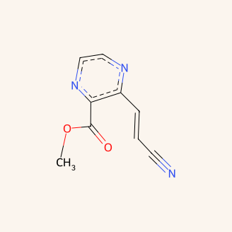 COC(=O)c1nccnc1/C=C/C#N